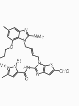 CCn1nc(C)cc1C(=O)Nc1nc2cc(C=O)sc2n1C/C=C/Cn1c(NC)nc2cc(C)cc(OCCCNC)c21